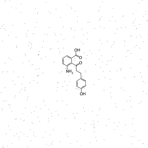 Nc1cccc(C(=O)O)c1C(=O)CCc1ccc(O)cc1